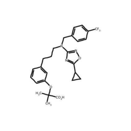 CC(C)(Oc1cccc(CCCN(Cc2ccc(C(F)(F)F)cc2)c2noc(C3CC3)n2)c1)C(=O)O